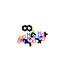 C=CC1CC1(NC(=O)[C@@H]1C[C@@H](Sc2ccc3ccccc3c2)CN1C(=O)[C@@H](NC(=O)OC(C)(C)C)C(C)(C)C)C(=O)NS(C)(=O)=O